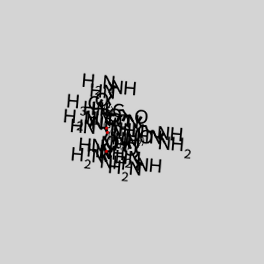 CCC(=O)CNC(=O)C(CCCNC(=N)N)NC(=O)[C@H](CCCNC(=N)N)NC(=O)[C@H](CCCNC(=N)N)NC(=O)[C@H](CCCNC(=N)N)NC(=O)[C@H](CCCNC(=N)N)NC(=O)[C@H](CCCNC(=N)N)NC(C)=O